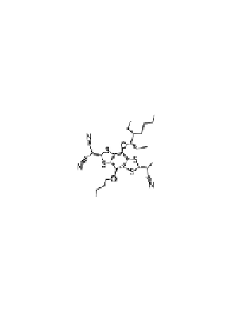 C/C=C(/Oc1c2c(c(OCCCC)c3c1S/C(=C(\C)C#N)S3)SC(=C(C#N)C#N)S2)C(CC)CCCC